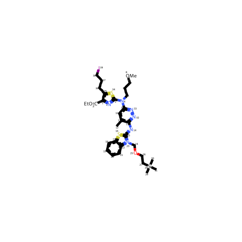 CCOC(=O)c1nc(N(CCCOC)c2cc(C)c(/N=c3\sc4ccccc4n3COCC[Si](C)(C)C)nn2)sc1CCCI